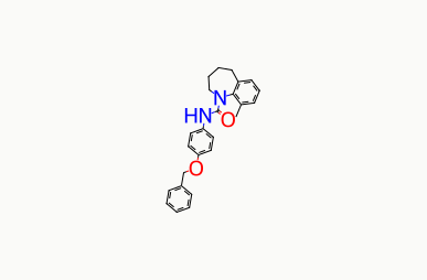 Cc1cccc2c1N(C(=O)Nc1ccc(OCc3ccccc3)cc1)CCCC2